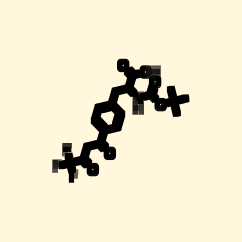 CC(C)(C)OC(=O)NC(Cc1ccc(C(=O)CC(=O)C(F)(F)F)cc1)C(=O)O